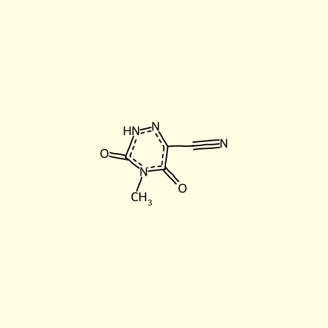 Cn1c(=O)[nH]nc(C#N)c1=O